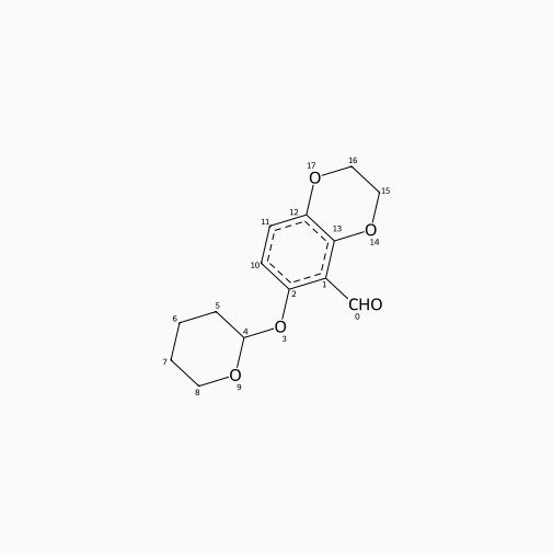 O=Cc1c(OC2CCCCO2)ccc2c1OCCO2